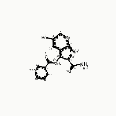 NC(=O)c1[nH]c2ncc(Br)cc2c1NC(=O)c1cccnc1